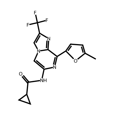 Cc1ccc(-c2nc(NC(=O)C3CC3)cn3cc(C(F)(F)F)nc23)o1